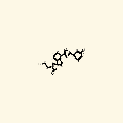 O=C1C[C@]2(CCc3c(-c4noc(-c5cccc(Cl)c5)n4)cccc32)CN1CCO